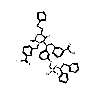 NC(=O)c1cccc(CC(c2cccc(OCP(=O)(O)OC(Cc3ccccc3)c3ccccc3)c2)C2C(O)C(CCc3ccccc3)NC(=O)N2Cc2cccc(C(N)=O)c2)c1